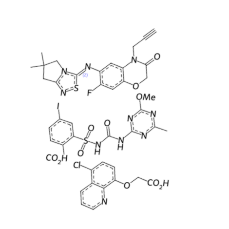 C#CCN1C(=O)COc2cc(F)c(/N=c3\snc4n3CC(C)(C)C4)cc21.COc1nc(C)nc(NC(=O)NS(=O)(=O)c2cc(I)ccc2C(=O)O)n1.O=C(O)COc1ccc(Cl)c2cccnc12